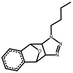 CCCCN1N=NC2C3OC(c4ccccc43)C21